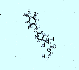 CCOC(=O)[C@H]1[C@@H]2Cc3cc(OCc4cc(Br)c(C(F)F)cc4F)ncc3[C@@H]21